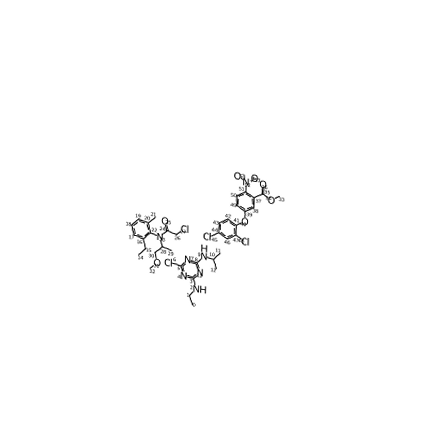 CCNc1nc(Cl)nc(NC(C)C)n1.CCc1cccc(C)c1N(C(=O)CCl)C(C)COC.COC(=O)c1cc(Oc2ccc(Cl)cc2Cl)ccc1[N+](=O)[O-]